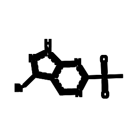 CS(=O)(=O)c1ncc2c(Br)n[nH]c2n1